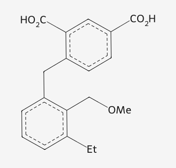 CCc1cccc(Cc2ccc(C(=O)O)cc2C(=O)O)c1COC